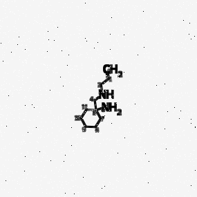 C=CCNCC1(N)CCCCC1